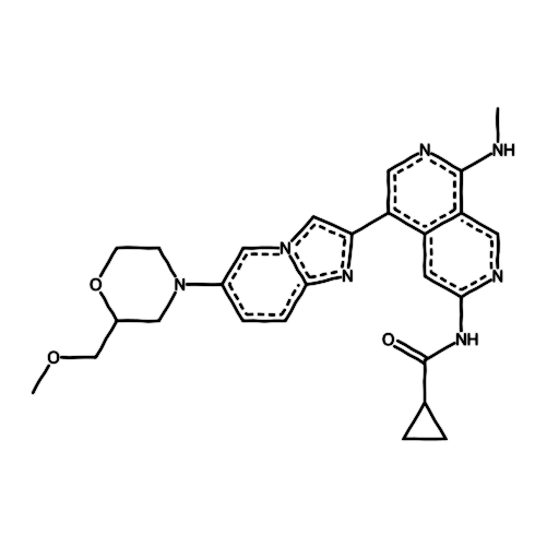 CNc1ncc(-c2cn3cc(N4CCOC(COC)C4)ccc3n2)c2cc(NC(=O)C3CC3)ncc12